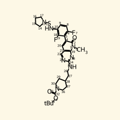 Cn1c(=O)c(-c2c(F)ccc(NSN3CCCC3)c2F)cc2cnc(NCCC3CCN(C(=O)OC(C)(C)C)CC3)nc21